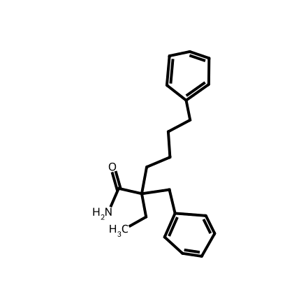 CCC(CCCCc1ccccc1)(Cc1ccccc1)C(N)=O